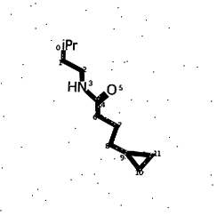 CC(C)CCNC(=O)CCCC1CC1